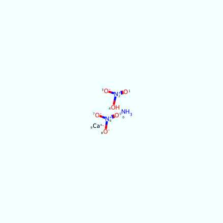 N.O=[N+]([O-])O.O=[N+]([O-])[O-].[Ca+]